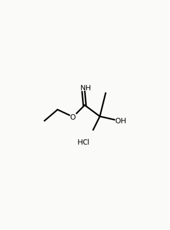 CCOC(=N)C(C)(C)O.Cl